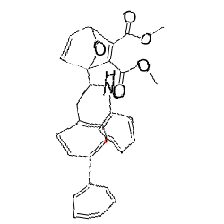 COC(=O)C1=C(C(=O)OC)C2(C(Cc3ccc(-c4ccccc4)cc3)Nc3ccccc3)C=CC1O2